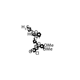 COc1ccc(C(Cc2c(Cl)c[n+]([O-])cc2Cl)OC(=O)c2ccc(CNC(CO)(C(=O)OC[C@H]3CCN(C)C3)c3ccccc3)s2)cc1OC